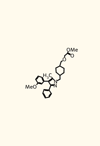 COC(=O)COCC1CCC(Cn2nc(-c3ccccc3)c(-c3cccc(OC)c3)c2C)CC1